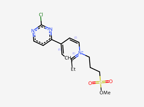 C\C=C(/C=C\[N+](=C\CC)CCCS(=O)(=O)OC)c1ccnc(Cl)n1